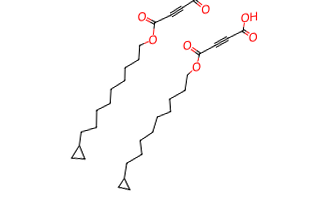 O=C(O)C#CC(=O)OCCCCCCCCCC1CC1.O=C(O)C#CC(=O)OCCCCCCCCCC1CC1